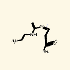 C=C(/N=C\CC(N)=O)NCCN